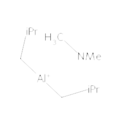 CC(C)[CH2][Al+][CH2]C(C)C.C[N-]C